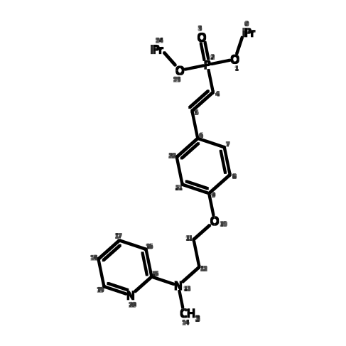 CC(C)OP(=O)(C=Cc1ccc(OCCN(C)c2ccccn2)cc1)OC(C)C